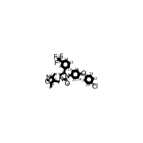 Cc1noc(C)c1CN1CC(c2cccc(C(F)(F)F)c2)N(c2ccc(Oc3ccc(Cl)cc3)cc2)C1=O